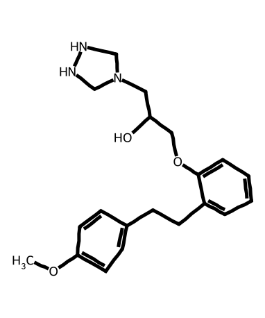 COc1ccc(CCc2ccccc2OCC(O)CN2CNNC2)cc1